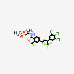 CC(CS(C)(=O)=O)NC(=O)c1ccc(/C(F)=C/C(c2cc(Cl)c(Cl)c(Cl)c2)C(F)(F)F)cc1C(F)(F)F